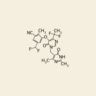 Cc1nc(C)c(Cn2cnc(C(C)(F)F)c(Oc3cc(C(F)F)cc(C#N)c3C)c2=O)c(=O)[nH]1